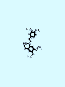 COc1cc2c(cc1OC)[C@H](CCc1ccc(C)c(C)c1)NCC2